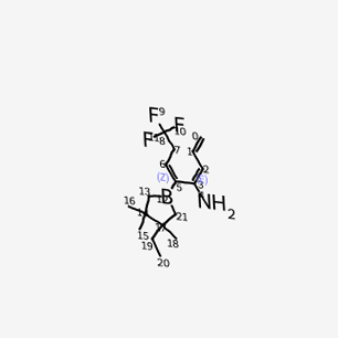 C=C/C=C(N)\C(=C/CC(F)(F)F)B1CC(C)(C)C(C)(CC)C1